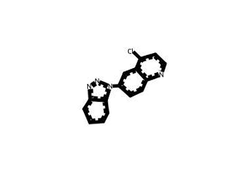 Clc1ccnc2ccc(-n3nnc4ccccc43)cc12